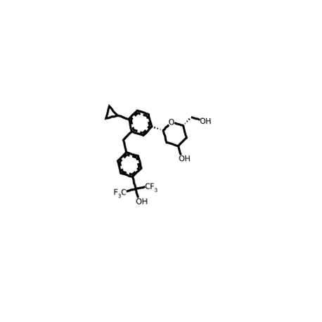 OC[C@@H]1CC(O)C[C@H](c2ccc(C3CC3)c(Cc3ccc(C(O)(C(F)(F)F)C(F)(F)F)cc3)c2)O1